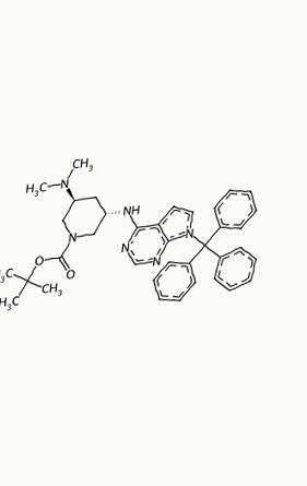 CN(C)[C@H]1C[C@H](Nc2ncnc3c2ccn3C(c2ccccc2)(c2ccccc2)c2ccccc2)CN(C(=O)OC(C)(C)C)C1